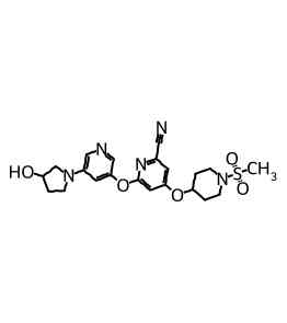 CS(=O)(=O)N1CCC(Oc2cc(C#N)nc(Oc3cncc(N4CCC(O)C4)c3)c2)CC1